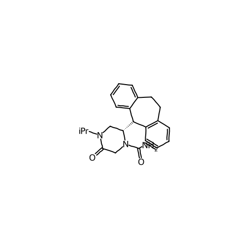 CC(C)N1C[C@H](C2c3c#cccc3CCc3ccccc32)N(C(N)=O)CC1=O